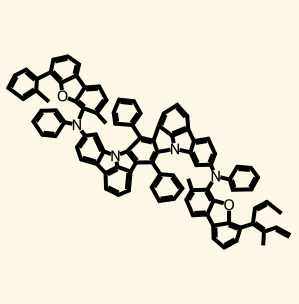 C=C/C(C)=C(\C=C/C)c1cccc2c1oc1c(N(c3ccccc3)c3ccc4c5cccc6c7c(-c8ccccc8)c8c(c(-c9ccccc9)c7n(c4c3)c56)c3cccc4c5ccc(N(c6ccccc6)c6c(C)ccc7c6oc6c(-c9ccccc9C)cccc67)cc5n8c43)c(C)ccc12